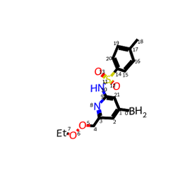 Bc1cc(COOCC)nc(NS(=O)(=O)c2ccc(C)cc2)c1